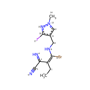 CC/C(C(=N)C#N)=C(\Br)NCc1cn(C)nc1I